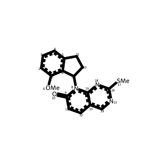 COc1cccc2c1C(n1c(=O)ccc3cnc(SC)nc31)CC2